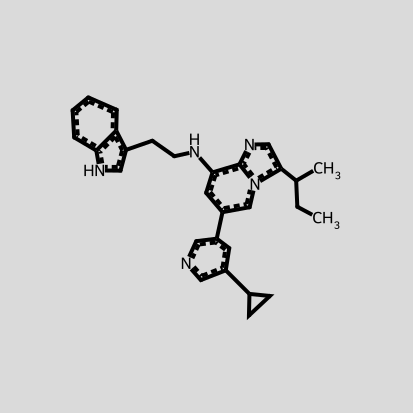 CCC(C)c1cnc2c(NCCc3c[nH]c4ccccc34)cc(-c3cncc(C4CC4)c3)cn12